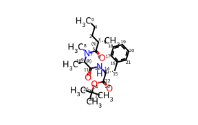 CCC[C@H](C)C(=O)N(C)[C@H](C)C(=O)N[C@H](Cc1ccccc1)C(=O)OC(C)(C)C